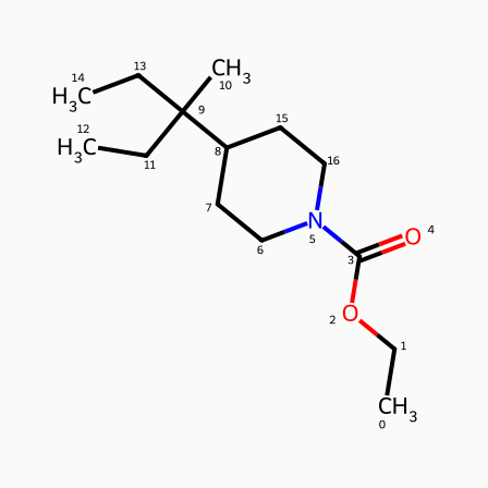 CCOC(=O)N1CCC(C(C)(CC)CC)CC1